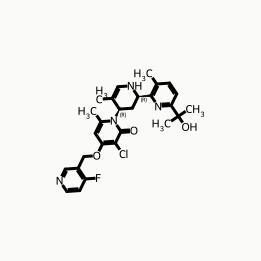 CC1=CN[C@@H](c2nc(C(C)(C)O)ccc2C)C[C@H]1n1c(C)cc(OCc2cnccc2F)c(Cl)c1=O